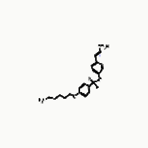 O=C(O)/C=C/c1ccc(OC(F)(F)c2ccc(OCCCCCC(F)(F)F)cc2)cc1